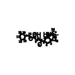 COc1ccc(C(=O)NCC(=O)OCc2ccccc2)cc1N[S+](C)[O-]